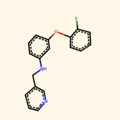 Fc1ccccc1Oc1cccc(NCc2cccnc2)c1